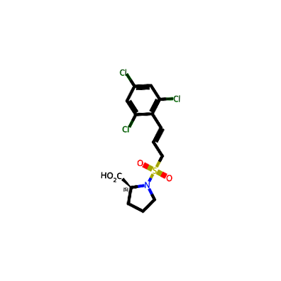 O=C(O)[C@@H]1CCCN1S(=O)(=O)CC=Cc1c(Cl)cc(Cl)cc1Cl